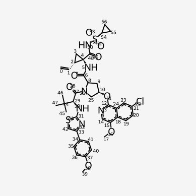 C=C[C@@H]1C[C@]1(NC(=O)C1C[C@@H](Oc2ncc(OC)c3ccc(Cl)cc23)CN1C(=O)[C@@H](Nc1nc(-c2ccc(OC)cc2)cs1)C(C)(C)C)C(=O)NS(=O)(=O)C1CC1